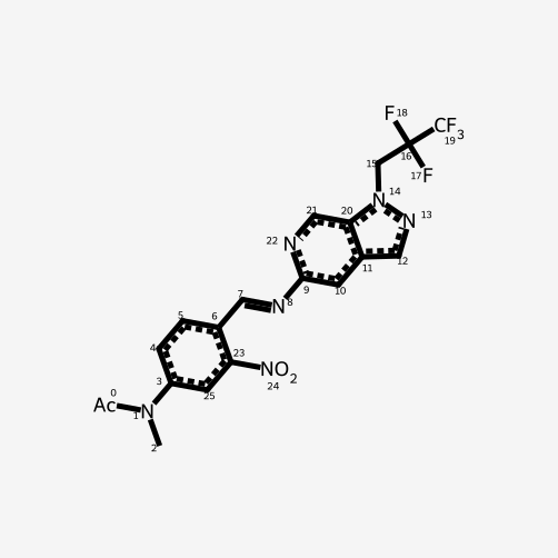 CC(=O)N(C)c1ccc(/C=N/c2cc3cnn(CC(F)(F)C(F)(F)F)c3cn2)c([N+](=O)[O-])c1